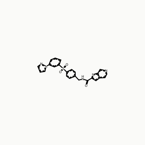 O=C(NCc1ccc(S(=O)(=O)c2cccc(-n3cccn3)c2)cc1)c1cc2ccncc2s1